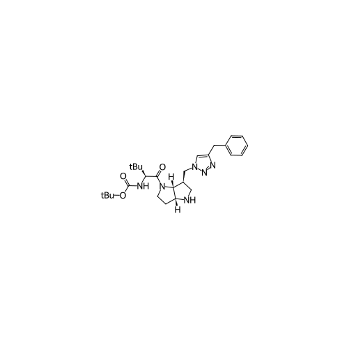 CC(C)(C)OC(=O)N[C@H](C(=O)N1CC[C@H]2NC[C@H](Cn3cc(Cc4ccccc4)nn3)[C@H]21)C(C)(C)C